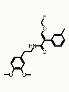 COc1ccc(CCNC(=O)C(=COCF)c2cccc(C)c2)cc1OC